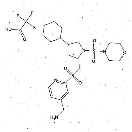 NCc1ccnc(S(=O)(=O)C[C@@H]2CC(C3CCCCC3)CN2S(=O)(=O)N2CCOCC2)c1.O=C(O)C(F)(F)F